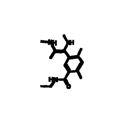 CCNC(=O)c1cc(/C(NC)=C(\C)NC)c(C)cc1C